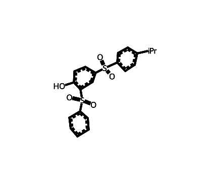 CC(C)c1ccc(S(=O)(=O)c2ccc(O)c(S(=O)(=O)c3ccccc3)c2)cc1